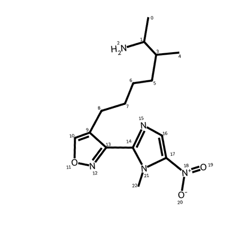 CC(N)C(C)CCCCc1conc1-c1ncc([N+](=O)[O-])n1C